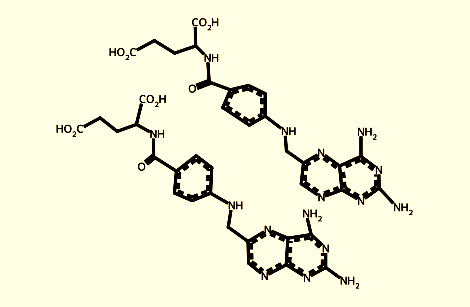 Nc1nc(N)c2nc(CNc3ccc(C(=O)NC(CCC(=O)O)C(=O)O)cc3)cnc2n1.Nc1nc(N)c2nc(CNc3ccc(C(=O)NC(CCC(=O)O)C(=O)O)cc3)cnc2n1